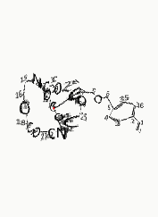 C=Cc1ccc(COCC2COCCN3CCOCCOCCN(CCOCCOCC3)CCO2)cc1